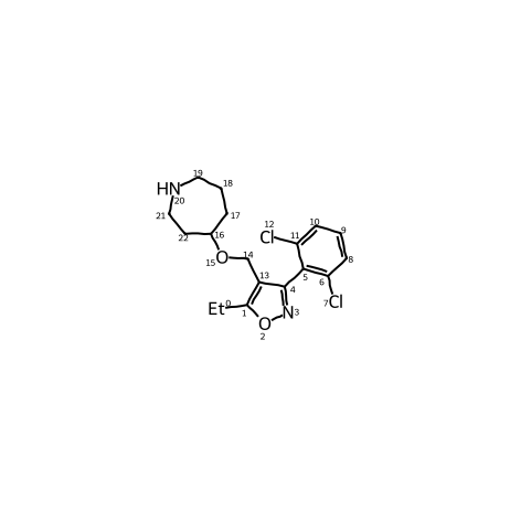 CCc1onc(-c2c(Cl)cccc2Cl)c1COC1CCCNCC1